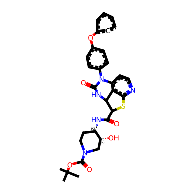 CC(C)(C)OC(=O)N1CC[C@H](NC(=O)C2Sc3nccc4c3C2NC(=O)N4c2ccc(Oc3ccccc3)cc2)[C@H](O)C1